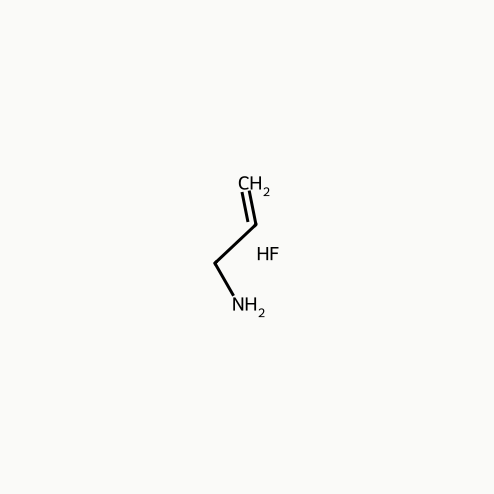 C=CCN.F